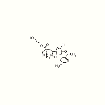 Cc1ccc(C(C)Oc2cc3onc(CC(N)(CO)C(=O)OCCCO)c3cc2Cl)nc1